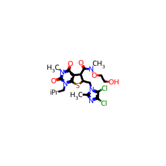 Cc1nc(Cl)c(Cl)n1CC1Sc2c(c(=O)n(C)c(=O)n2CC(C)C)C1C(=O)N(C)OCCO